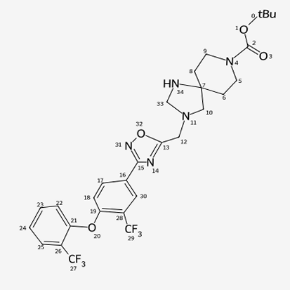 CC(C)(C)OC(=O)N1CCC2(CC1)CN(Cc1nc(-c3ccc(Oc4ccccc4C(F)(F)F)c(C(F)(F)F)c3)no1)CN2